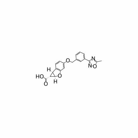 Cc1nc(-c2cccc(COc3ccc4c(c3)O[C@H]3[C@H](C(=O)O)[C@@H]43)c2)no1